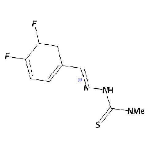 CNC(=S)N/N=C/C1=CC=C(F)C(F)C1